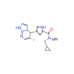 CCCN(CC1CC1)C(=O)c1cc(C2C(F)=CN=C3NC=CC32)c[nH]1